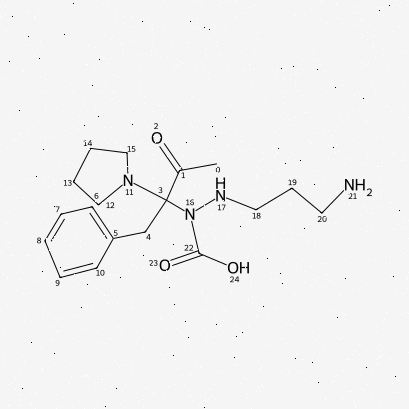 CC(=O)C(Cc1ccccc1)(N1CCCC1)N(NCCCN)C(=O)O